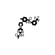 CC(=O)Nc1ncc(N2CC[C@@H](c3cc(C(=O)Nc4cccc(C(F)(F)F)c4)ccc3C)C2)cn1